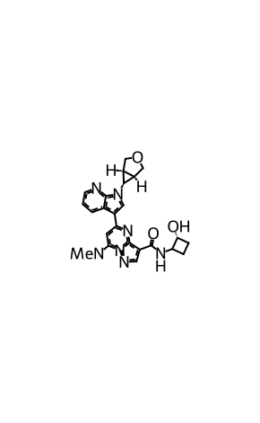 CNc1cc(-c2cn([C@H]3[C@@H]4COC[C@@H]43)c3ncccc23)nc2c(C(=O)NC3CC[C@H]3O)cnn12